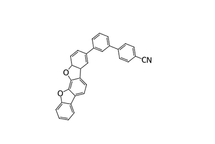 N#Cc1ccc(-c2cccc(C3=CC4c5ccc6c(oc7ccccc76)c5OC4C=C3)c2)cc1